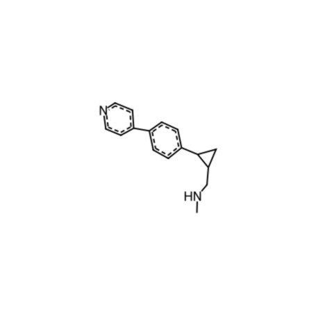 CNCC1CC1c1ccc(-c2ccncc2)cc1